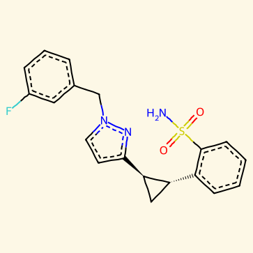 NS(=O)(=O)c1ccccc1[C@@H]1C[C@H]1c1ccn(Cc2cccc(F)c2)n1